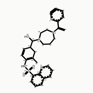 C=C(c1ccc#cn1)N1CCCN(C(O)C2C=CC(NS(=O)(=O)c3cccc4cccnc34)=C(C)C2)CC1